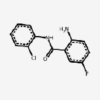 Nc1ccc(F)cc1C(=O)Nc1ccccc1Cl